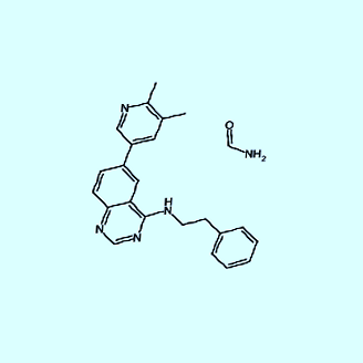 Cc1cc(-c2ccc3ncnc(NCCc4ccccc4)c3c2)cnc1C.NC=O